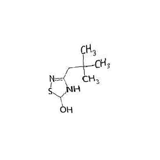 CC(C)(C)CC1=NSC(O)N1